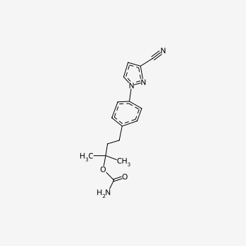 CC(C)(CCc1ccc(-n2ccc(C#N)n2)cc1)OC(N)=O